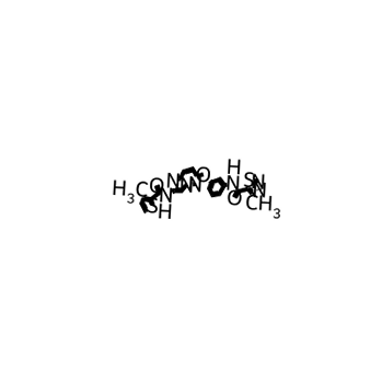 Cc1ccsc1C(=O)Nc1cn2nc(Oc3cccc(NC(=O)c4snnc4C)c3)ccc2n1